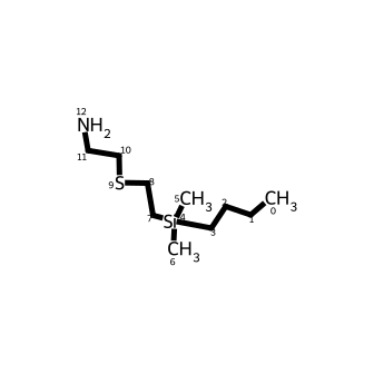 CCCC[Si](C)(C)CCSCCN